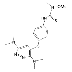 CON(C)C(=S)Nc1ccc(Sc2cc(N(C)C)nnc2N(C)C)cc1